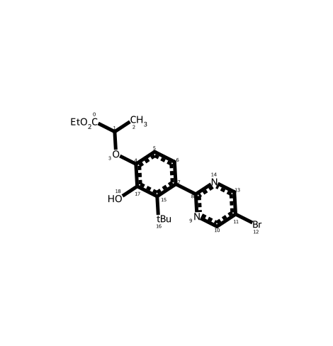 CCOC(=O)C(C)Oc1ccc(-c2ncc(Br)cn2)c(C(C)(C)C)c1O